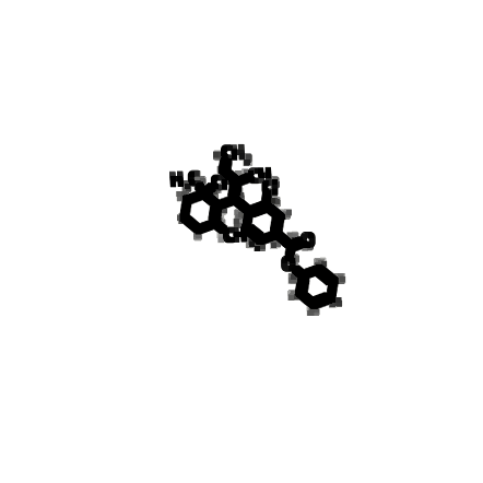 C=CC(C)=C(C1=C(C)CCCC1(C)C)c1ccc(C(=O)Oc2ccccc2)cc1Cl